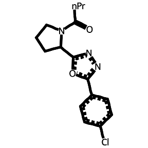 CCCC(=O)N1CCCC1c1nnc(-c2ccc(Cl)cc2)o1